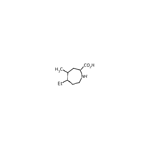 CCC1CCNC(C(=O)O)CC1C